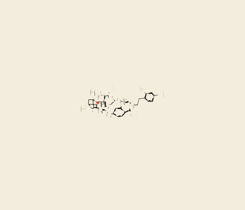 C[C@@H]1CN(/C(=N\C2C[C@H]3C[C@@H]([C@@H]2C)C3(C)C)Nc2ccc3c(=O)n(CCc4ccc(Cl)cc4F)cnc3c2)C[C@H](C)N1